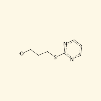 [O]CCCSc1ncccn1